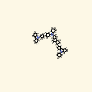 CC1(C)c2cc(-c3ccc4c(c3)c3ccccc3n4-c3ccccc3)ccc2-c2ccc(N(c3ccccc3)c3ccc(-c4ccc(-n5c6ccccc6c6ccccc65)cc4)cc3)cc21